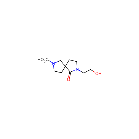 O=C(O)N1CCC2(CCN(CCO)C2=O)C1